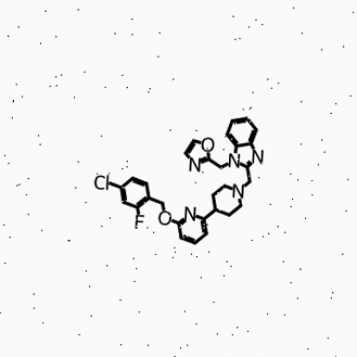 Fc1cc(Cl)ccc1COc1cccc(C2CCN(Cc3nc4ccccc4n3Cc3ncco3)CC2)n1